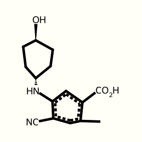 Cc1cc(C#N)c(N[C@H]2CC[C@H](O)CC2)cc1C(=O)O